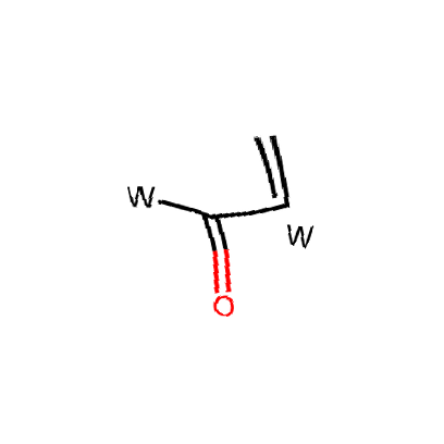 C=C[C](=O)[W].[W]